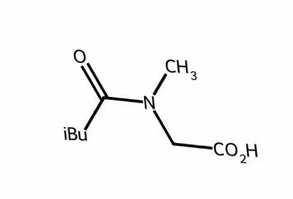 CCC(C)C(=O)N(C)CC(=O)O